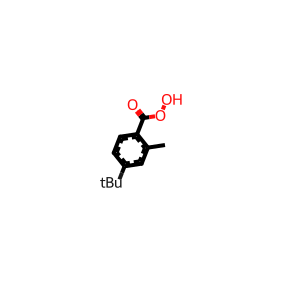 Cc1cc(C(C)(C)C)ccc1C(=O)OO